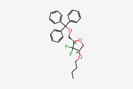 CCCCO[C@@H]1CO[C@H](COC(c2ccccc2)(c2ccccc2)c2ccccc2)C1(F)F